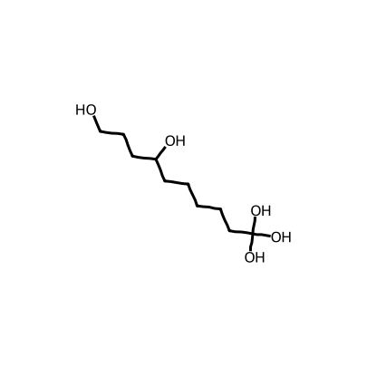 OCCCC(O)CCCCCC(O)(O)O